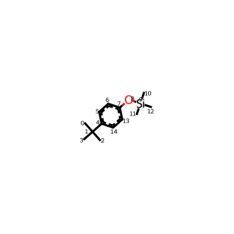 CC(C)(C)c1ccc(O[Si](C)(C)C)cc1